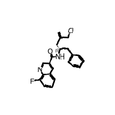 C=C(CCl)C[C@H](Cc1ccccc1)NC(=O)c1cnc2c(F)cccc2c1